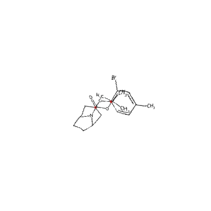 Cc1ccc(OC2CC3CCC(C2)N3C(=O)OC(C)(C)C)c(Br)c1